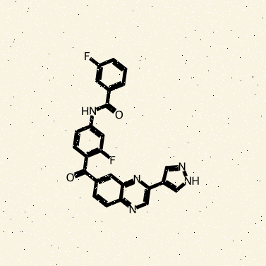 O=C(Nc1ccc(C(=O)c2ccc3ncc(-c4cn[nH]c4)nc3c2)c(F)c1)c1cccc(F)c1